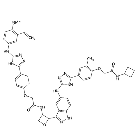 C=Cc1cc(Nc2nnc(C3=CC=C(OCC(=O)NC4COC4c4n[nH]c5ccc(Nc6nnc(-c7ccc(OCC(=O)NC8CCC8)c(C)c7)[nH]6)cc45)CC3)[nH]2)ccc1NC